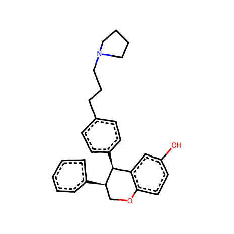 Oc1ccc2c(c1)[C@H](c1ccc(CCCN3CCCC3)cc1)[C@H](c1ccccc1)CO2